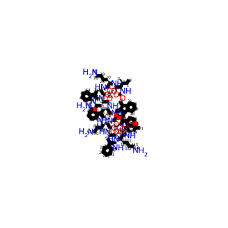 CC[C@H](C)[C@H](NC(=O)OCC1c2ccccc2-c2ccccc21)C(=O)N[C@@H](CCCCN)C(=O)N[C@@H](Cc1c[nH]c2ccccc12)C(=O)N[C@@H](CCCCN)C(=O)N[C@@H](Cc1c[nH]c2ccccc12)C(=O)N[C@@H](Cc1c[nH]c2ccccc12)C(=O)N[C@@H](CCCCN)C(=O)N[C@@H](Cc1c[nH]c2ccccc12)C(=O)N[C@@H](CCCCN)C(=O)N[C@@H](CC(C)C)C(=O)O